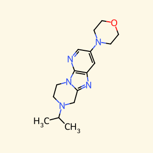 CC(C)N1CCn2c(nc3cc(N4CCOCC4)cnc32)C1